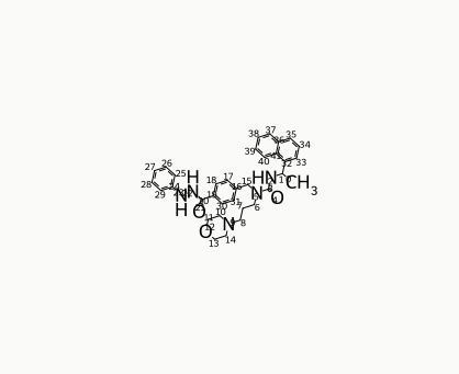 CC(NC(=O)N(CCCN1CCOCC1)Cc1ccc(C(=O)NNc2ccccc2)cc1)c1cccc2ccccc12